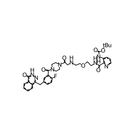 CC(C)(C)OC(=O)Nc1cccnc1C(=O)NCCOCCNCC(=O)N1CCN(C(=O)c2cc(Cc3n[nH]c(=O)c4ccccc34)ccc2F)CC1